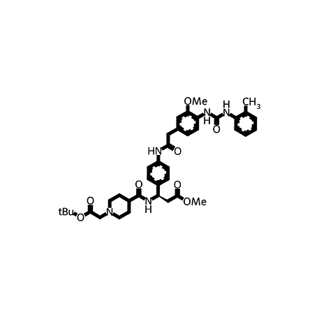 COC(=O)C[C@@H](NC(=O)C1CCN(CC(=O)OC(C)(C)C)CC1)c1ccc(NC(=O)Cc2ccc(NC(=O)Nc3ccccc3C)c(OC)c2)cc1